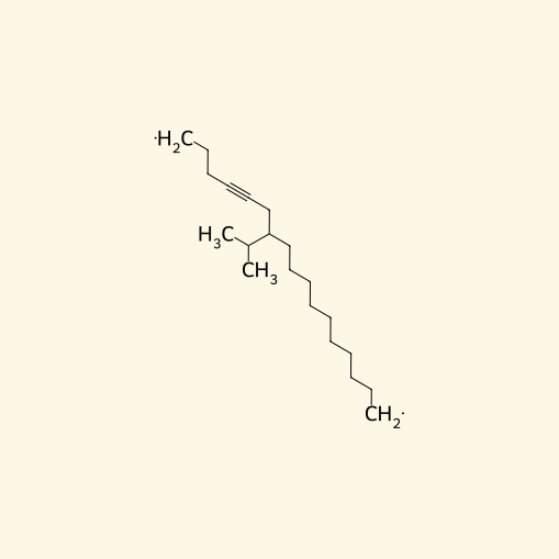 [CH2]CCC#CCC(CCCCCCCCC[CH2])C(C)C